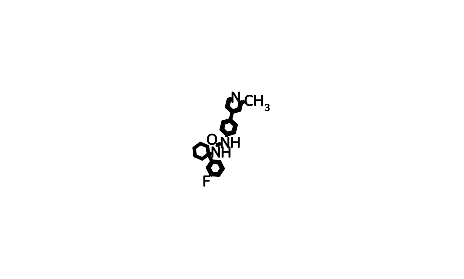 Cc1cc(-c2ccc(NC(=O)NC3(c4cccc(F)c4)CCCCC3)cc2)ccn1